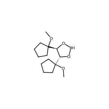 COC1([C@H]2OBO[C@@H]2C2(OC)CCCC2)CCCC1